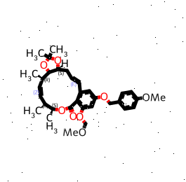 COCOc1cc(OCc2ccc(OC)cc2)cc2c1C(=O)O[C@@H](C)[C@H](C)/C=C\[C@@H](C)C1OC(C)(C)O[C@H]1C/C=C/2